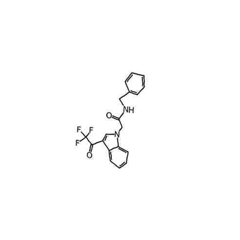 O=C(Cn1cc(C(=O)C(F)(F)F)c2ccccc21)NCc1ccccc1